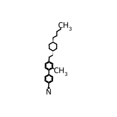 CCCCC[C@H]1CC[C@H](CCc2ccc(-c3ccc(C#N)cc3)c(C)c2)CC1